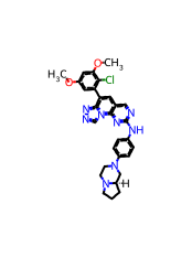 COc1cc(OC)c(Cl)c(-c2cc3cnc(Nc4ccc(N5CCN6CCC[C@@H]6C5)cc4)nc3n3cnnc23)c1